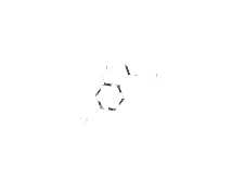 COC(=O)c1ccc(C#N)cc1OC